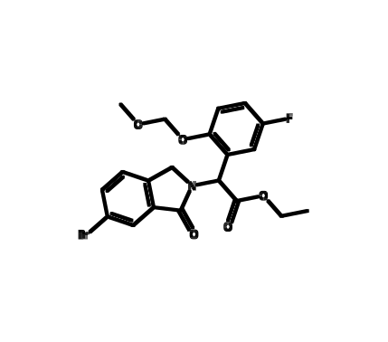 CCOC(=O)C(c1cc(F)ccc1OCOC)N1Cc2ccc(Br)cc2C1=O